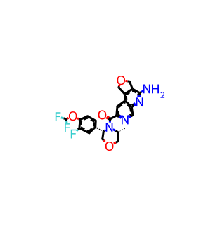 C[C@@H]1COC[C@H](c2ccc(OC(F)F)c(F)c2)N1C(=O)c1cc2c3c(c(N)nc2cn1)COC3